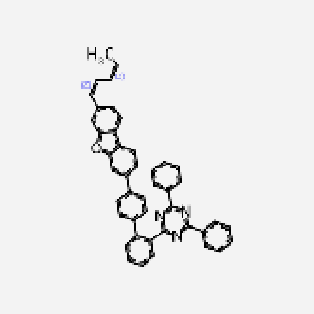 C/C=C\C=C/c1ccc2c(c1)oc1cc(-c3ccc(-c4ccccc4-c4nc(-c5ccccc5)nc(-c5ccccc5)n4)cc3)ccc12